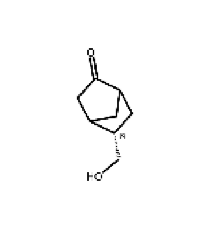 O=C1CC2CC1C[C@@H]2CO